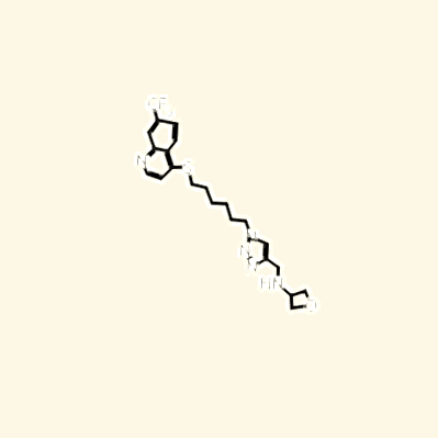 FC(F)(F)c1ccc2c(SCCCCCCn3cc(CNC4COC4)nn3)ccnc2c1